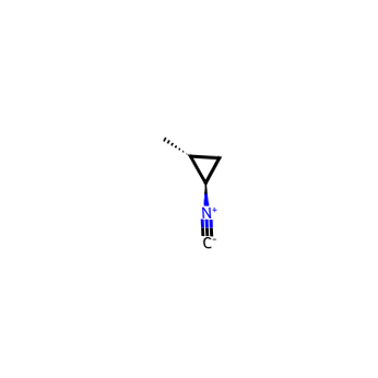 [C-]#[N+][C@@H]1C[C@H]1C